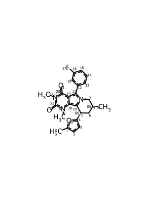 Cc1ccc([C@@H]2C[C@H](C)Cn3c(-c4cccc(F)c4)c4c(=O)n(C)c(=O)n(C)c4c32)o1